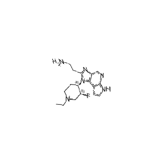 CCN1CC[C@@H](n2c(CCN)nc3cnc4[nH]ccc4c32)[C@@H](F)C1